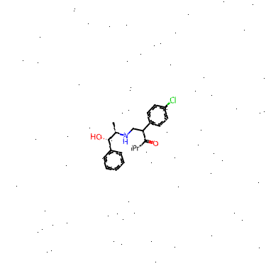 CC(C)C(=O)C(CN[C@H](C)[C@@H](O)c1ccccc1)c1ccc(Cl)cc1